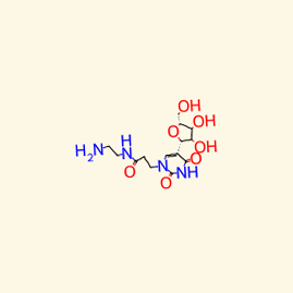 NCCNC(=O)CCn1cc([C@@H]2O[C@H](CO)C(O)C2O)c(=O)[nH]c1=O